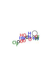 O=C(COc1ccc(Cl)c(F)c1)NC12CCC(NC(=O)C3CNC(OC(F)(F)F)C4(CCCCCCCCCC4)C3)(CC1)CC2O